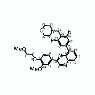 COCCOc1ccc(-c2cnc3cccc(-c4cc(F)c(CN5CCOCC5)c(F)c4)c3n2)cc1OC